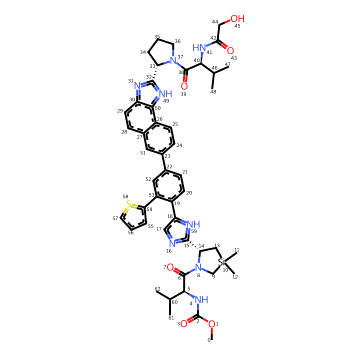 COC(=O)N[C@H](C(=O)N1C[Si](C)(C)C[C@H]1c1ncc(-c2ccc(-c3ccc4c(ccc5nc([C@@H]6CCCN6C(=O)[C@@H](NC(=O)CO)C(C)C)[nH]c54)c3)cc2-c2cccs2)[nH]1)C(C)C